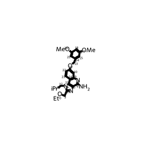 CCOCc1nc2c(N)nc3cc(OCc4cc(OC)cc(OC)c4)ccc3c2n1CC(C)C